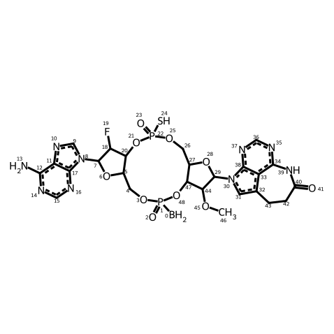 BP1(=O)OCC2OC(n3cnc4c(N)ncnc43)C(F)C2OP(=O)(S)OCC2OC(n3cc4c5c(ncnc53)NC(=O)CC4)C(OC)C2O1